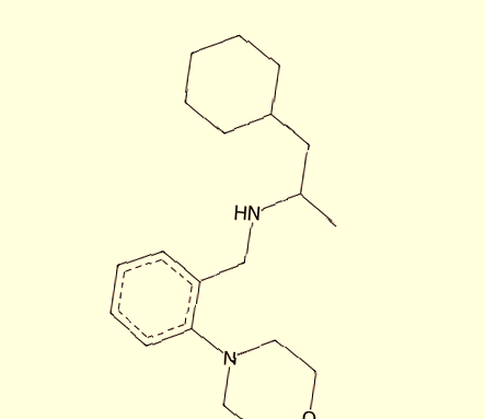 CC(CC1CCCCC1)NCc1ccccc1N1CCOCC1